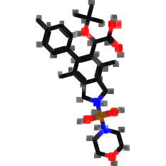 Cc1ccc(-c2c(C)c3c(c(C)c2C(OC(C)(C)C)C(=O)O)CN(S(=O)(=O)N2CCOCC2)C3)cc1